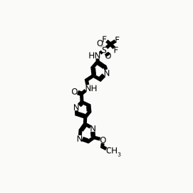 CCOc1cncc(-c2ccc(C(=O)NCc3cncc(NS(=O)(=O)C(F)(F)F)c3)nc2)n1